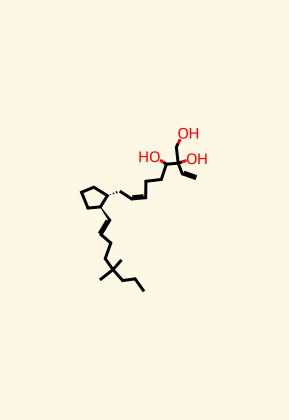 C=CC(O)(CO)C(O)CC/C=C\C[C@H]1CCC[C@@H]1/C=C/CCC(C)(C)CCC